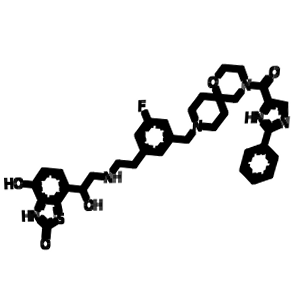 O=C(c1cnc(-c2ccccc2)[nH]1)N1CCOC2(CCN(Cc3cc(F)cc(CCNCC(O)c4ccc(O)c5[nH]c(=O)sc45)c3)CC2)C1